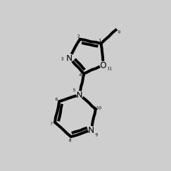 Cc1cnc(N2C=CC=NC2)o1